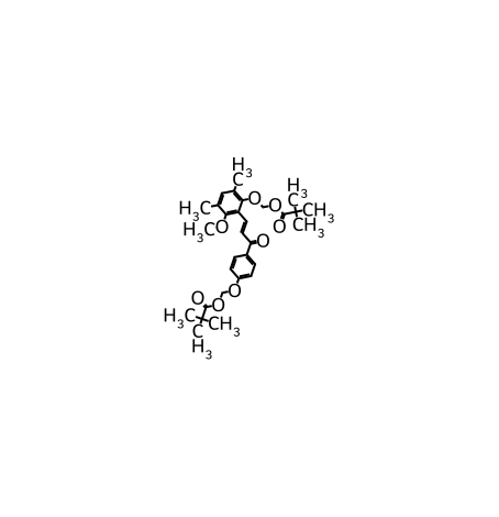 COc1c(C)cc(C)c(OCOC(=O)C(C)(C)C)c1C=CC(=O)c1ccc(OCOC(=O)C(C)(C)C)cc1